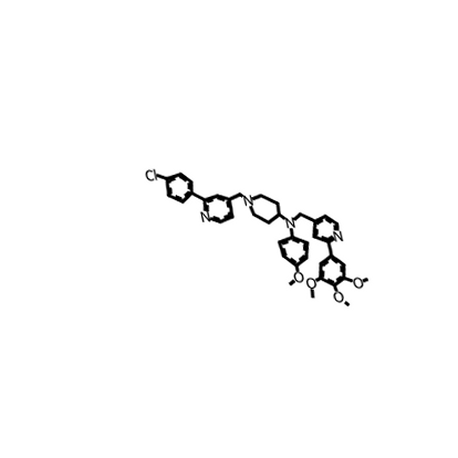 COc1ccc(N(Cc2ccnc(-c3cc(OC)c(OC)c(OC)c3)c2)C2CCN(Cc3ccnc(-c4ccc(Cl)cc4)c3)CC2)cc1